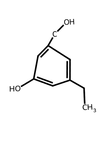 CCc1cc(O)cc(CO)c1